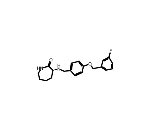 O=C1NCCCC[C@@H]1NCc1ccc(OCc2cccc(F)c2)cc1